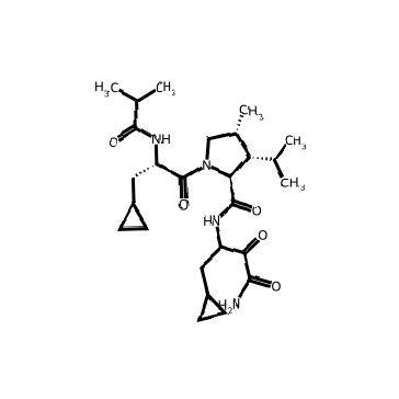 CC(C)C(=O)N[C@@H](CC1CC1)C(=O)N1C[C@H](C)[C@H](C(C)C)[C@H]1C(=O)NC(CC1CC1)C(=O)C(N)=O